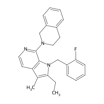 CCc1c(C)c2ccnc(N3CCc4ccccc4C3)c2n1Cc1ccccc1F